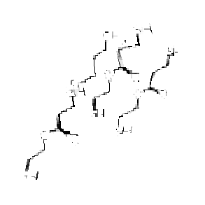 CCC[CH2][Sn].O=C(CCS)OCCS.O=C(CCS)OCCS.O=C(CCS)OCCS